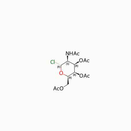 CC(=O)N[C@H]1[C@@H](OC(C)=O)[C@@H](OC(C)=O)[C@@H](COC(C)=O)O[C@@H]1Cl